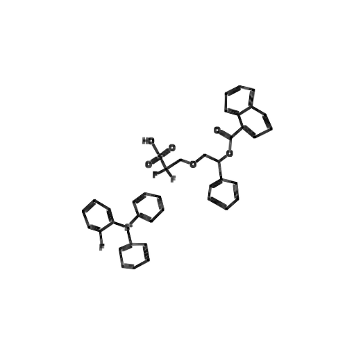 Fc1ccccc1[S+](c1ccccc1)c1ccccc1.O=C(OC(COCC(F)(F)S(=O)(=O)O)c1ccccc1)c1cccc2ccccc12